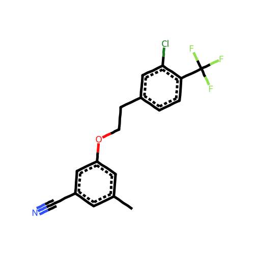 Cc1cc(C#N)cc(OCCc2ccc(C(F)(F)F)c(Cl)c2)c1